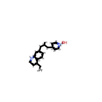 CC(C)Cc1ccnc2cc(CC(C)Cc3cc[n+](O)cc3)ccc12